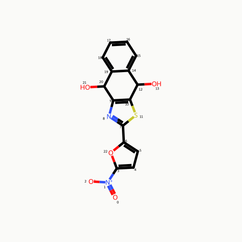 O=[N+]([O-])c1ccc(-c2nc3c(s2)C(O)c2ccccc2C3O)o1